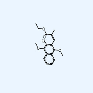 CCOC(=O)/C(C)=C\c1c(Cl)c(OC)c2ccccc2c1OC